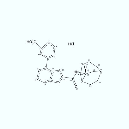 Cl.O=C(O)c1cccc(-c2cccc3cc(C(=O)N[C@@H]4CN5CCCCC4CC5)oc23)c1